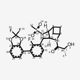 C[C@@H](O)C(=O)N1C2CC(C2)[C@H](NS(C)(=O)=O)[C@@H]1Cc1cccc(-c2cccc3c2OC(F)(F)O3)c1F